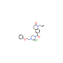 C=CCN1C(=O)CCc2cc(C(=O)N3CCN(CCOc4ccccc4)CC3)ccc21.Cl